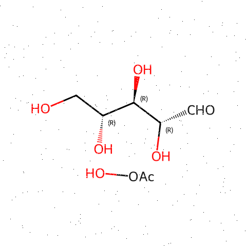 CC(=O)OO.O=C[C@H](O)[C@H](O)[C@H](O)CO